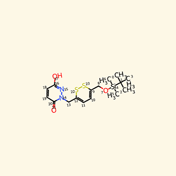 CC(C)(C)[Si](C)(C)OCC1=CC=C(Cn2nc(O)ccc2=O)SS1